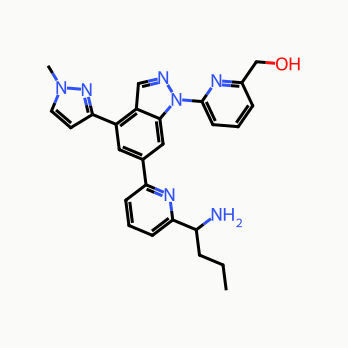 CCCC(N)c1cccc(-c2cc(-c3ccn(C)n3)c3cnn(-c4cccc(CO)n4)c3c2)n1